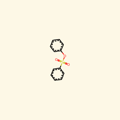 O=S(=O)(Oc1ccccc1)c1cc[c]cc1